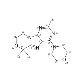 CC1=NC2C(N=C3N2CCOC3(C)C)C(N2CCOCC2)=N1